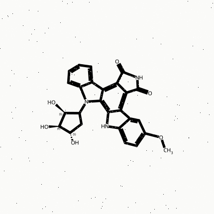 COc1ccc2[nH]c3c(c4c(c5c6ccccc6n(C6C[C@H](O)[C@@H](O)[C@H]6O)c35)C(=O)NC4=O)c2c1